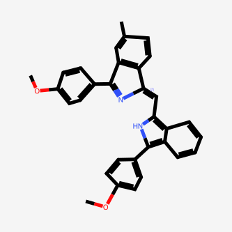 COc1ccc(C2=N/C(=C\c3[nH]c(-c4ccc(OC)cc4)c4ccccc34)c3ccc(C)cc32)cc1